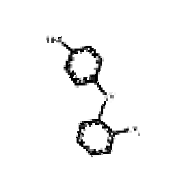 Oc1ccc(Nc2ccccc2C(F)(F)F)cc1